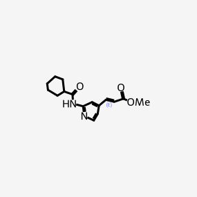 COC(=O)/C=C/c1ccnc(NC(=O)C2CCCCC2)c1